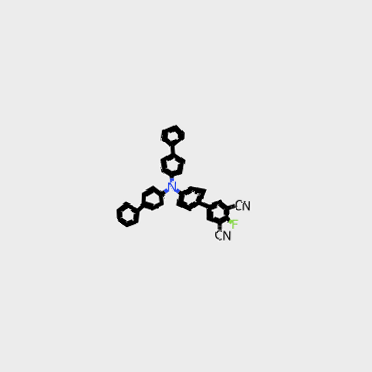 N#Cc1cc(-c2ccc(N(c3ccc(-c4ccccc4)cc3)C3C=CC(c4ccccc4)=CC3)cc2)cc(C#N)c1F